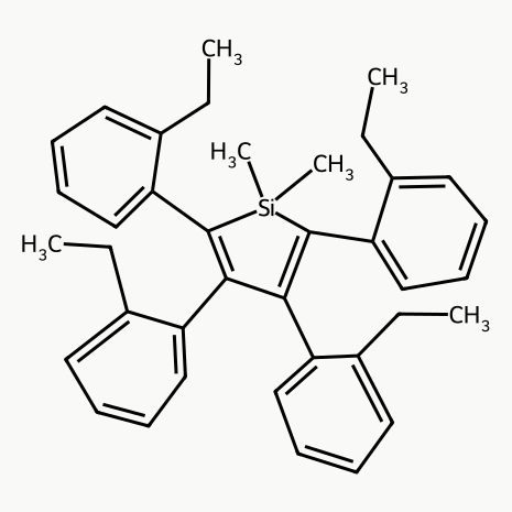 CCc1ccccc1C1=C(c2ccccc2CC)[Si](C)(C)C(c2ccccc2CC)=C1c1ccccc1CC